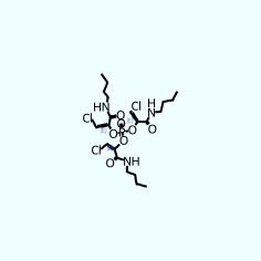 CCCCNC(=O)/C(=C\Cl)OP(=O)(O/C(=C/Cl)C(=O)NCCCC)O/C(=C/Cl)C(=O)NCCCC